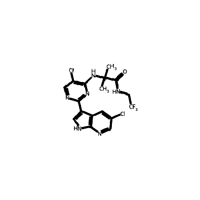 CC(C)(Nc1nc(-c2c[nH]c3ncc(Cl)cc23)ncc1Cl)C(=O)NCC(F)(F)F